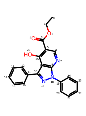 CCOC(=O)c1cnc2c(c(-c3ccccc3)nn2-c2ccccc2)c1O